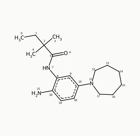 CCC(C)(C)C(=O)Nc1cc(N2CCCCCC2)ccc1N